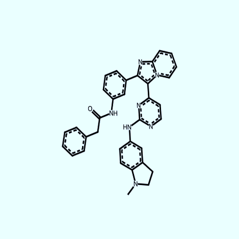 CN1CCc2cc(Nc3nccc(-c4c(-c5cccc(NC(=O)Cc6ccccc6)c5)nc5ccccn45)n3)ccc21